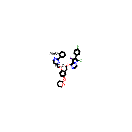 COc1ccccc1-c1nccc(COc2ccc(OC3CCCCO3)cc2C[C@@H](Oc2nccn3c(Cl)c(-c4ccc(F)cc4)c(I)c23)C(=O)O)n1